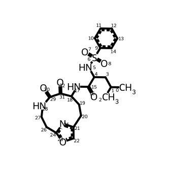 CC(C)CC(NS(=O)(=O)c1ccccc1)C(=O)NC1CCc2coc(n2)CCNC(=O)C1=O